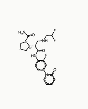 NC(=O)N1C[CH]C[C@H]1C(CNCC(F)F)C(=O)Nc1ccc(-n2ccccc2=O)cc1F